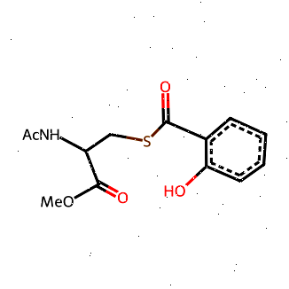 COC(=O)C(CSC(=O)c1ccccc1O)NC(C)=O